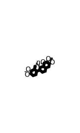 CCCCCCCC[n+]1cc2c3c(ccc2c2ccc4cc5c(cc4c21)OCO5)OCO3